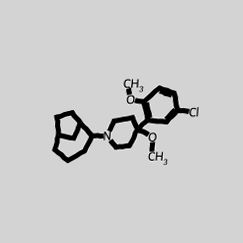 COc1ccc(Cl)cc1C1(OC)CCN(C2CCCC3CCC2C3)CC1